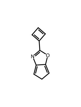 C1=CC(c2nc3c(o2)=CCC=3)=C1